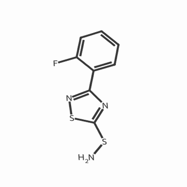 NSc1nc(-c2ccccc2F)ns1